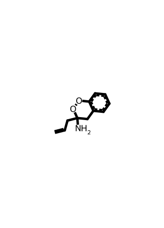 C=CCC1(N)Cc2ccccc2OO1